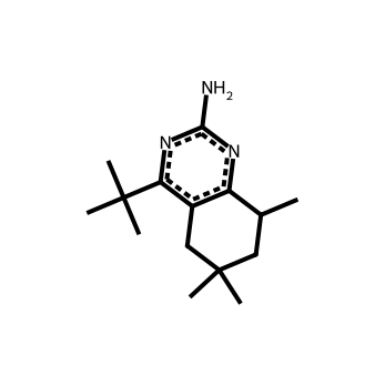 CC1CC(C)(C)Cc2c1nc(N)nc2C(C)(C)C